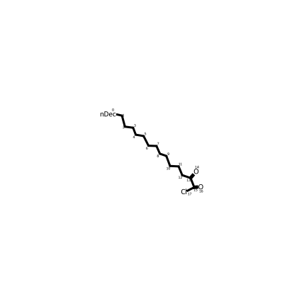 CCCCCCCCCCCCCCCCCCCCCCC(=O)C(=O)Cl